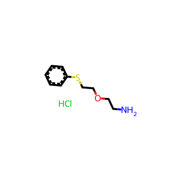 Cl.NCCOCCSc1ccccc1